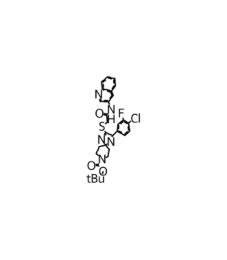 CC(C)(C)OC(=O)N1CCC2(CC1)N=C(SCC(=O)Nc1cnc3ccccc3c1)C(c1ccc(Cl)c(F)c1)=N2